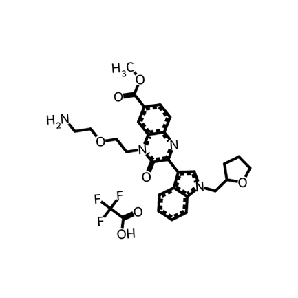 COC(=O)c1ccc2nc(-c3cn(CC4CCCO4)c4ccccc34)c(=O)n(CCOCCN)c2c1.O=C(O)C(F)(F)F